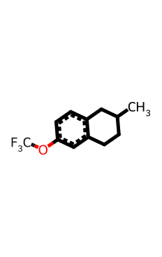 CC1CCc2cc(OC(F)(F)F)ccc2C1